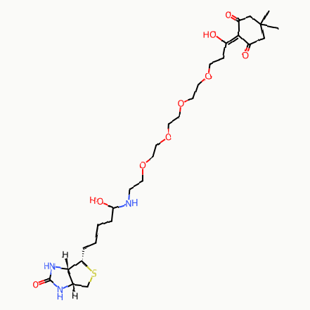 CC1(C)CC(=O)C(=C(O)CCOCCOCCOCCOCCNC(O)CCCC[C@@H]2SC[C@@H]3NC(=O)N[C@@H]32)C(=O)C1